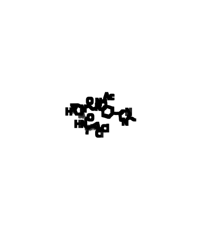 CC(=O)c1nn(CC(=O)N2C3C[C@@H]3C[C@H]2C(=O)N[C@H](C)[C@H]2CC2(Cl)Cl)c2ccc(-c3cnc(C)nc3)cc12